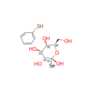 OC[C@H]1O[C@](O)([Se])[C@H](O)[C@@H](O)[C@H]1O.Sc1ccccc1